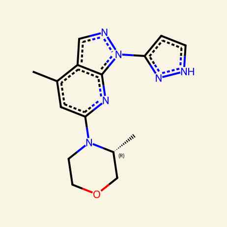 Cc1cc(N2CCOC[C@H]2C)nc2c1cnn2-c1cc[nH]n1